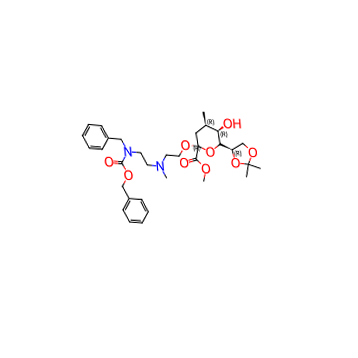 COC(=O)[C@@]1(OCCN(C)CCN(Cc2ccccc2)C(=O)OCc2ccccc2)C[C@@H](C)[C@@H](O)C([C@H]2COC(C)(C)O2)O1